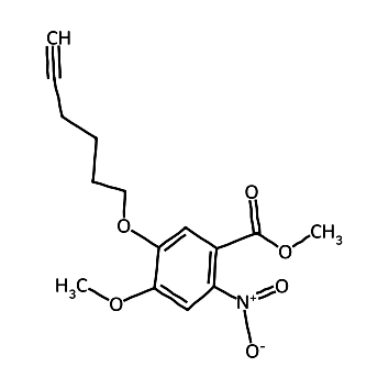 C#CCCCCOc1cc(C(=O)OC)c([N+](=O)[O-])cc1OC